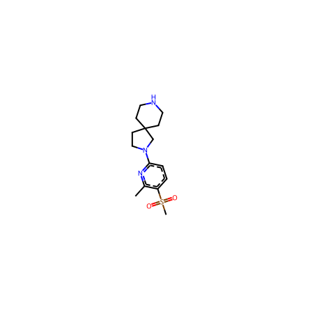 Cc1nc(N2CCC3(CCNCC3)C2)ccc1S(C)(=O)=O